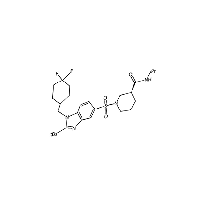 CC(C)NC(=O)[C@H]1CCCN(S(=O)(=O)c2ccc3c(c2)nc(C(C)(C)C)n3CC2CCC(F)(F)CC2)C1